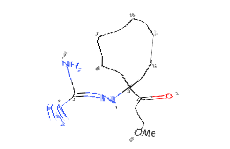 COC(=O)C1(N=C(N)N)CCCCC1